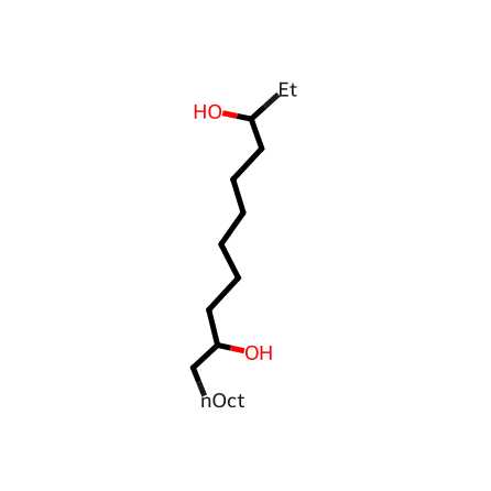 CCCCCCCCCC(O)CCCCCCC(O)CC